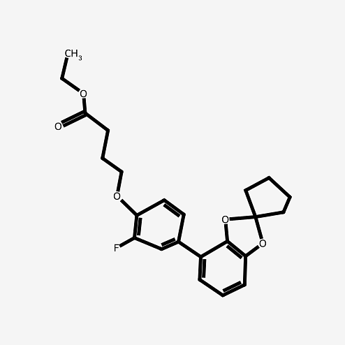 CCOC(=O)CCCOc1ccc(-c2cccc3c2OC2(CCCC2)O3)cc1F